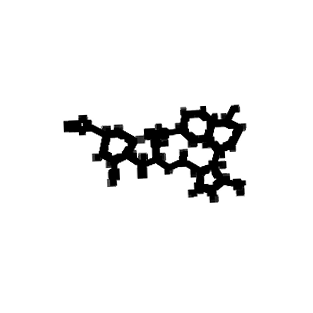 COc1ccc2c(C)ccc(-n3c(Br)nnc3SCC(=O)Nc3ccc(C(=O)O)cc3Cl)c2c1